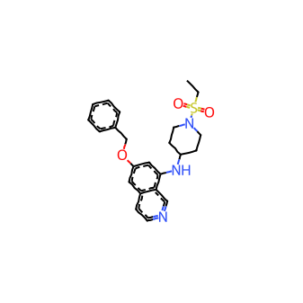 CCS(=O)(=O)N1CCC(Nc2cc(OCc3ccccc3)cc3ccncc23)CC1